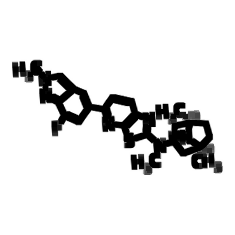 CN(c1nc2ccc(-c3cc(F)c4nn(C)cc4c3)nc2s1)C1C[C@]2(C)CC[C@](C)(C1)N2